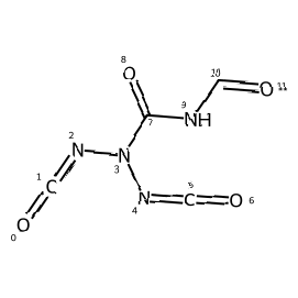 O=C=NN(N=C=O)C(=O)NC=O